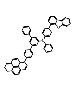 C1=CC(c2cccc3c2oc2ccccc23)CC=C1N(c1ccccc1)c1cc(-c2ccccc2)cc(-c2ccc(-c3ccc4ccc5c6c(ccc3c46)=CCC5)cc2)c1